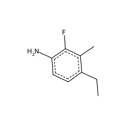 CCc1ccc(N)c(F)c1C